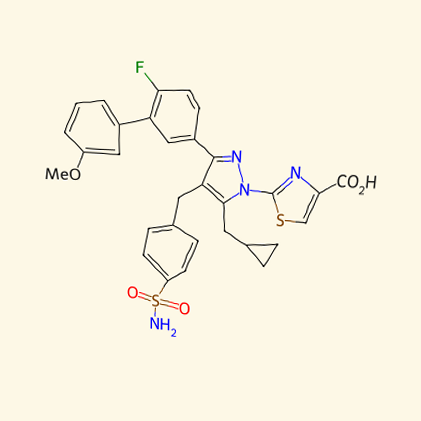 COc1cccc(-c2cc(-c3nn(-c4nc(C(=O)O)cs4)c(CC4CC4)c3Cc3ccc(S(N)(=O)=O)cc3)ccc2F)c1